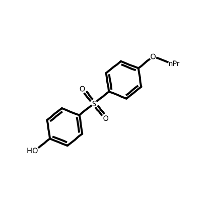 CCCOc1ccc(S(=O)(=O)c2ccc(O)cc2)cc1